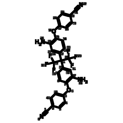 N#Cc1ccc(Oc2ccc(C(c3ccc(Oc4ccc(C#N)cc4)c(N)c3)(C(F)(F)F)C(F)(F)F)cc2N)cc1